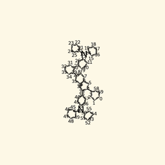 c1ccc(-c2cc3cc(-c4ccc(N(c5ccccc5)c5ccccc5)cc4)c(-c4ccccc4)cc3cc2-c2ccc(N(c3ccccc3)c3ccccc3)cc2)cc1